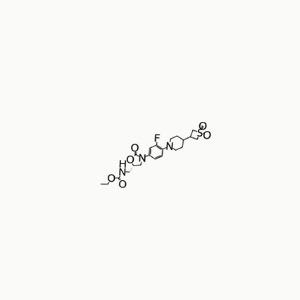 CCOC(=O)NC[C@H]1CN(c2ccc(N3CCC(C4CS(=O)(=O)C4)CC3)c(F)c2)C(=O)O1